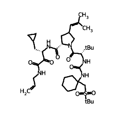 C=CCNC(=O)C(=O)[C@H](CC1CC1)NC(=O)[C@@H]1CC(C=C(C)C)CN1C(=O)[C@@H](NC(=O)NC1(CS(=O)(=O)C(C)(C)C)CCCCC1)C(C)(C)C